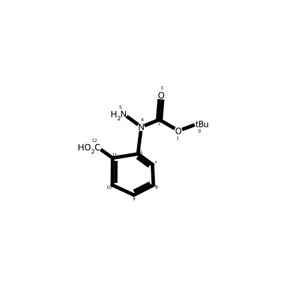 CC(C)(C)OC(=O)N(N)c1ccccc1C(=O)O